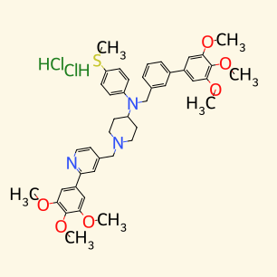 COc1cc(-c2cccc(CN(c3ccc(SC)cc3)C3CCN(Cc4ccnc(-c5cc(OC)c(OC)c(OC)c5)c4)CC3)c2)cc(OC)c1OC.Cl.Cl